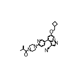 C=C(C)C(=O)N1CCN(c2ccc(-c3cc(OCC4CCC4)cn4ncc(C#N)c34)cn2)CC1